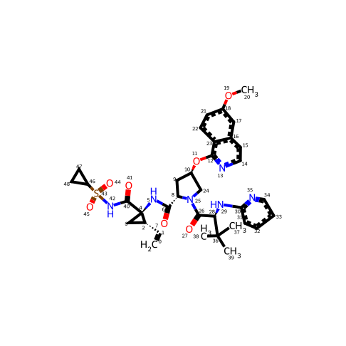 C=C[C@@H]1C[C@]1(NC(=O)[C@@H]1C[C@@H](Oc2nccc3cc(OC)ccc23)CN1C(=O)[C@@H](Nc1ccccn1)C(C)(C)C)C(=O)NS(=O)(=O)C1CC1